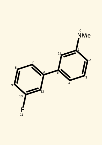 CNc1cccc(-c2cccc(F)c2)c1